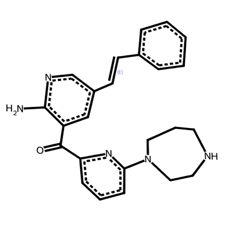 Nc1ncc(/C=C/c2ccccc2)cc1C(=O)c1cccc(N2CCCNCC2)n1